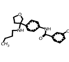 CCCCNC1(c2ccc(NC(=O)c3cccc(Cl)c3)cc2)CCOC1